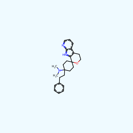 CN(C)C1(CCc2ccccc2)CCC2(CC1)OCCc1c2[nH]c2ncccc12